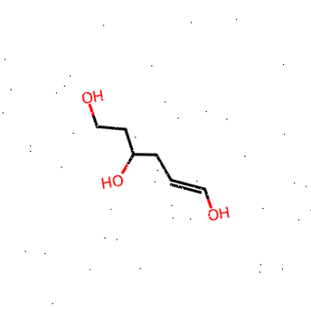 OC=CCC(O)CCO